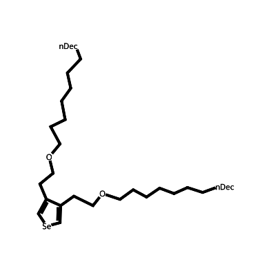 CCCCCCCCCCCCCCCCCOCCc1c[se]cc1CCOCCCCCCCCCCCCCCCCC